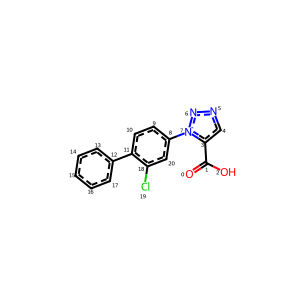 O=C(O)c1cnnn1-c1ccc(-c2ccccc2)c(Cl)c1